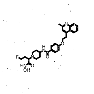 Cc1cc(CCOc2ccc(C(=O)NC3CCN(C(CCF)C(=O)NO)CC3)cc2)c2ccccc2n1